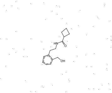 O=C(NCCc1ccccc1CO)C1CCC1